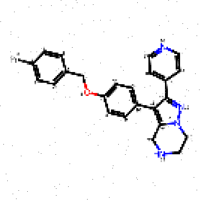 CC(C)c1ccc(COc2ccc(-c3c(-c4ccncc4)nn4c3CNCC4)cc2)cc1